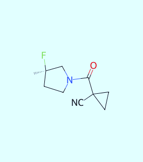 C[C@@]1(F)CCN(C(=O)C2(C#N)CC2)C1